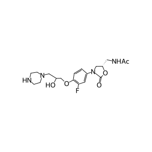 CC(=O)NC[C@H]1CN(c2ccc(OCC(O)CN3CCNCC3)c(F)c2)C(=O)O1